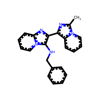 Cc1nc(-c2nc3ccccn3c2NCc2ccccc2)c2ccccn12